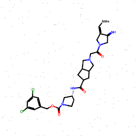 CN/C=C1/CN(C(=O)CN2CC3CC(C(=O)N[C@@H]4CCN(C(=O)OCc5cc(Cl)cc(Cl)c5)C4)CC3C2)CC1=N